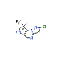 C[C@@]1(C(F)(F)F)CNc2cnc3cc(Cl)nn3c21